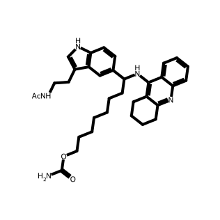 CC(=O)NCCc1c[nH]c2ccc(C(CCCCCCCOC(N)=O)Nc3c4c(nc5ccccc35)CCCC4)cc12